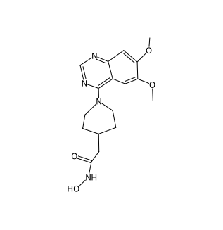 COc1cc2ncnc(N3CCC(CC(=O)NO)CC3)c2cc1OC